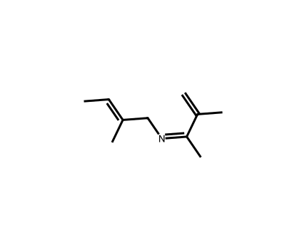 C=C(C)/C(C)=N\C/C(C)=C/C